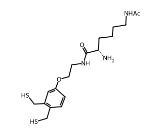 CC(=O)NCCCC[C@H](N)C(=O)NCCOc1ccc(CS)c(CS)c1